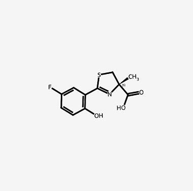 C[C@]1(C(=O)O)CSC(c2cc(F)ccc2O)=N1